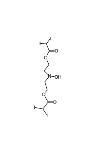 O=C(OCCN(O)CCOC(=O)C(I)I)C(I)I